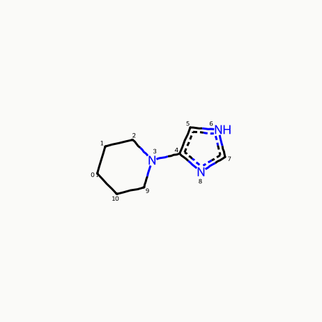 [CH]1CCN(c2c[nH]cn2)CC1